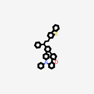 c1ccc(C(CCc2ccc3c(c2)sc2ccccc23)c2ccc(-c3ccc4oc5cccc(N(c6ccccc6)c6ccccc6)c5c4c3)cc2)cc1